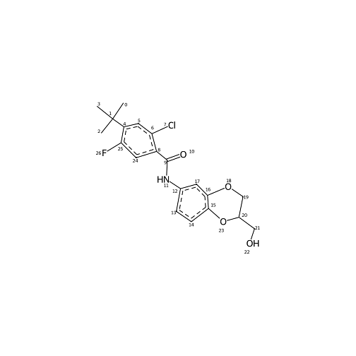 CC(C)(C)c1cc(Cl)c(C(=O)Nc2ccc3c(c2)OCC(CO)O3)cc1F